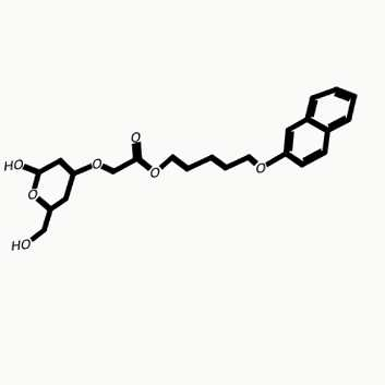 O=C(COC1CC(O)OC(CO)C1)OCCCCCOc1ccc2ccccc2c1